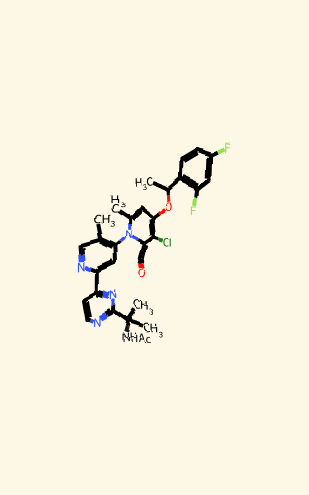 CC(=O)NC(C)(C)c1nccc(-c2cc(N3C(=C=O)C(Cl)=C(OC(C)c4ccc(F)cc4F)C=C3C)c(C)cn2)n1